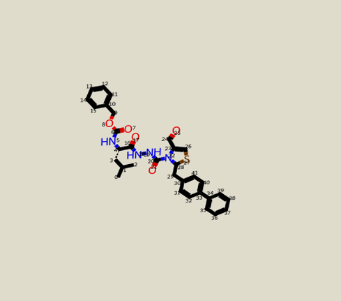 CC(C)C[C@H](NC(=O)OCc1ccccc1)C(=O)NNC(=O)N1C([C]=O)=CSC1Cc1ccc(-c2ccccc2)cc1